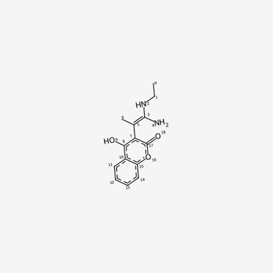 CCN/C(N)=C(\C)c1c(O)c2ccccc2oc1=O